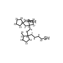 CCCCCC1(CC2(CCC3(CCCCS)CCCC3C)CCC2)CCCC1